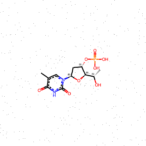 Cc1cn([C@H]2C[C@H](OP(=O)(O)O)[C@@H]([C@H](C)O)O2)c(=O)[nH]c1=O